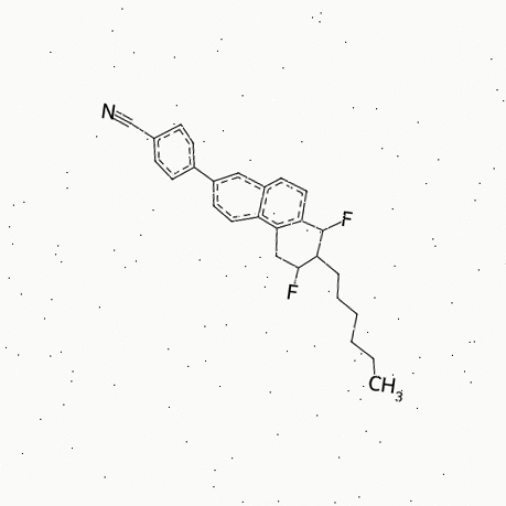 CCCCCCC1C(F)Cc2c(ccc3cc(-c4ccc(C#N)cc4)ccc23)C1F